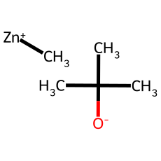 CC(C)(C)[O-].[CH3][Zn+]